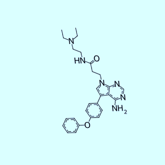 CCN(CC)CCNC(=O)CCn1cc(-c2ccc(Oc3ccccc3)cc2)c2c(N)ncnc21